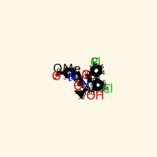 COC(=O)c1ccc(C[C@]2(C)O[C@H](c3cccc(Cl)c3)[C@@H](c3ccc(Cl)cc3)N([C@H](CO)C3CC3)C2=O)nc1